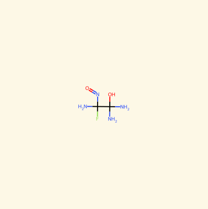 NC(N)(O)C(N)(F)N=O